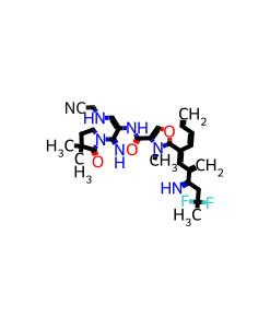 C=C/C=C\C(=C/C(=C)C(=N)CC(C)(F)F)C1OC=C(C(=O)N/C(=C/NCC#N)C(=N)N2CCC(C)(C)C2=O)N1C